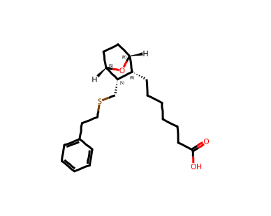 O=C(O)CCCCCC[C@@H]1[C@H](CSCCc2ccccc2)[C@@H]2CC[C@H]1O2